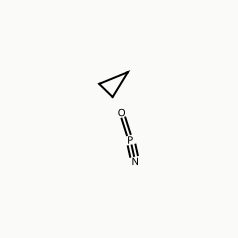 C1CC1.N#P=O